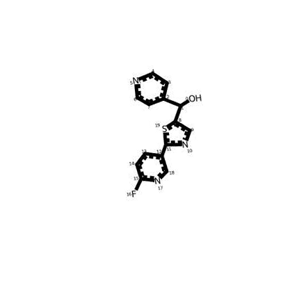 OC(c1ccncc1)c1cnc(-c2ccc(F)nc2)s1